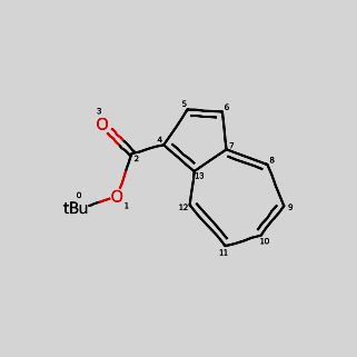 CC(C)(C)OC(=O)c1ccc2cccccc1-2